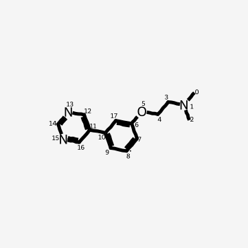 CN(C)CCOc1c[c]cc(-c2cncnc2)c1